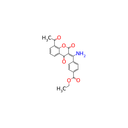 CCOC(=O)c1ccc(/C(N)=C2/C(=O)Oc3c(C(C)=O)cccc3C2=O)cc1